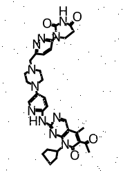 CC(=O)c1c(C)c2cnc(Nc3ccc(N4CCN(Cc5ccc(N6CCC(=O)NC6=O)nn5)CC4)cn3)nc2n(C2CCCC2)c1=O